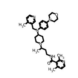 Cc1ccncc1CN(c1ccc(N2CCOCC2)cc1)C1CCN(C(C)CCNC(=O)c2c(C)ccnc2C)CC1